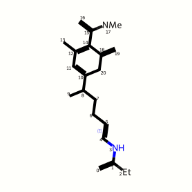 C=C(CC)N/C=C/CCC(C)C1=CC(C)=C(C(=C)NC)C(=C)C1